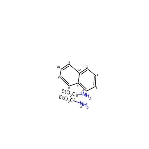 CCOC(N)=O.CCOC(N)=O.c1ccc2ccccc2c1